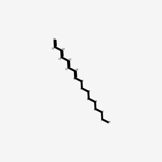 [CH2]CCCCCCCC/C=C/C=C/C=C/C=C